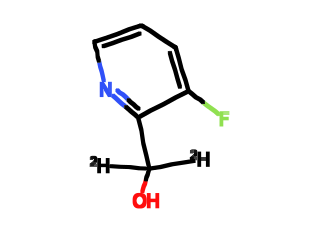 [2H]C([2H])(O)c1ncccc1F